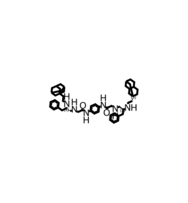 O=C(CNC[C@H](Cc1ccccc1)NCCC12CC3CC(CC(C3)C1)C2)Nc1ccc(NC(=O)CNC[C@H](Cc2ccccc2)NCC[C@]23CCC4CCC(CC4C2)C3)cc1